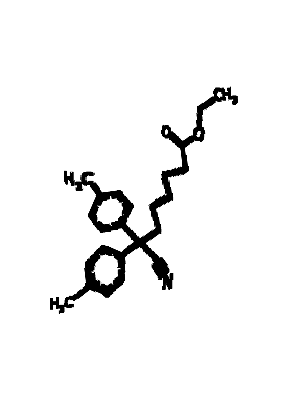 CCOC(=O)CCCCCC(C#N)(c1ccc(C)cc1)c1ccc(C)cc1